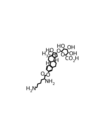 C[C@]12CC[C@@H]3c4ccc(OC(=O)[C@@H](N)CCCCN)cc4CC[C@H]3[C@@H]1C[C@@H](OC1O[C@H](C(=O)O)[C@@H](O)[C@H](O)[C@H]1O)[C@@H]2O